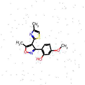 COc1ccc(-c2noc(C)c2-c2nc(C)cs2)c(O)c1